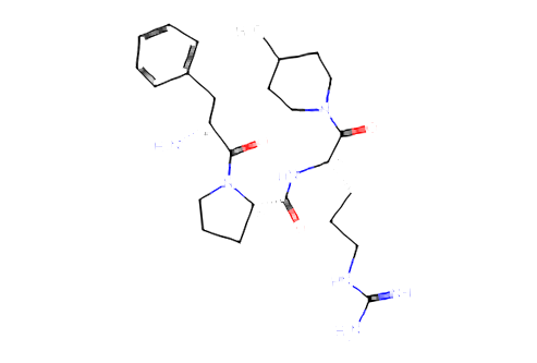 CC1CCN(C(=O)[C@H](CCCNC(=N)N)NC(=O)[C@@H]2CCCN2C(=O)[C@H](N)Cc2ccccc2)CC1